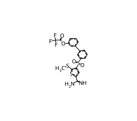 CSc1sc(C(=N)N)cc1S(=O)(=O)c1cccc(-c2cccc(OC(=O)C(F)(F)F)c2)c1